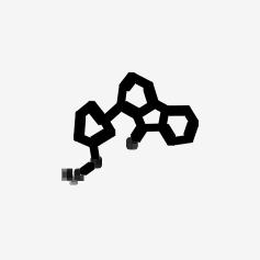 COc1cccc(-c2cccc3c2C(=O)c2ccccc2-3)c1